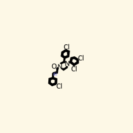 O=C(/C=C/c1cccc(Cl)c1)N1CCN(c2ccc(Cl)cc2Cl)C(c2ccc(Cl)cc2)C1